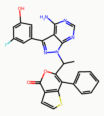 CC(c1oc(=O)c2ccsc2c1-c1ccccc1)n1nc(-c2cc(O)cc(F)c2)c2c(N)ncnc21